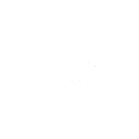 Oc1c(/N=N/c2cc(Cl)ccc2Cl)cnn1-c1ccccc1